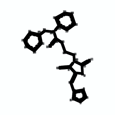 O=C1/C(=C/c2cccs2)SC(=S)N1CCCC(=O)N(Cc1ccccc1)c1ccccc1